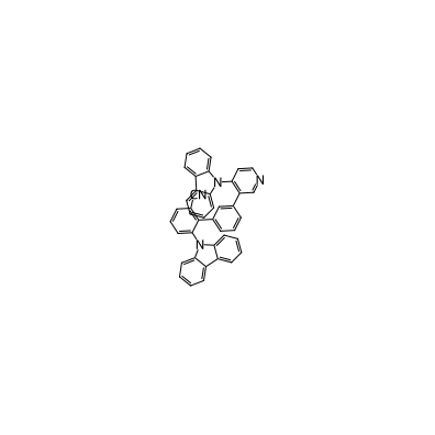 N#Cc1cccc(-n2c3ccccc3c3ccccc32)c1-c1cccc(-c2cnccc2-n2c3ccccc3c3ccccc32)c1